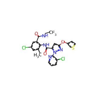 Cc1cc(Cl)cc(C(=O)NCC(F)(F)F)c1NC(=O)c1cc(Oc2ccsc2)nn1-c1ncccc1Cl